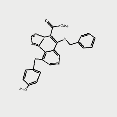 COC(=O)c1c(OCc2ccccc2)c2cccc(Oc3ccc(OC)cc3)c2c2ncnn12